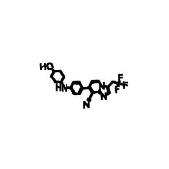 N#Cc1c(-c2ccc(NC3CCC(O)CC3)cc2)ccn2c(CC(F)(F)F)cnc12